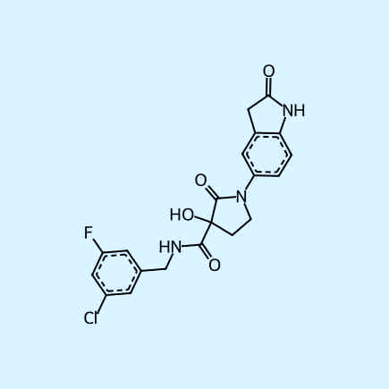 O=C1Cc2cc(N3CCC(O)(C(=O)NCc4cc(F)cc(Cl)c4)C3=O)ccc2N1